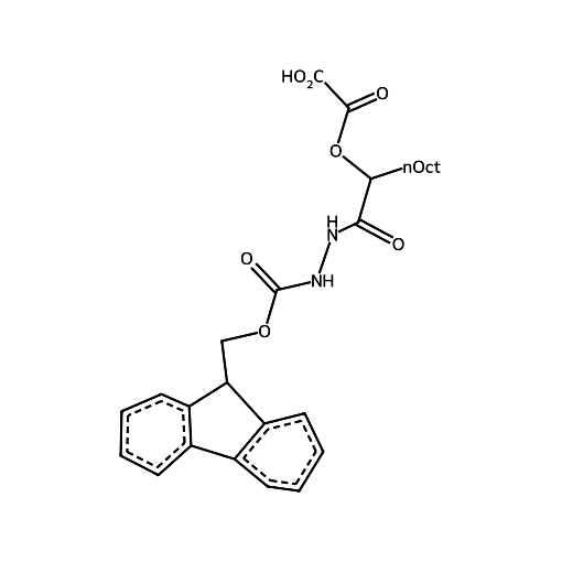 CCCCCCCCC(OC(=O)C(=O)O)C(=O)NNC(=O)OCC1c2ccccc2-c2ccccc21